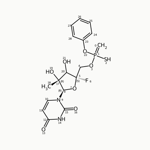 C=P(S)(OC[C@@]1(F)O[C@@H](n2ccc(=O)[nH]c2=O)[C@](C)(O)C1O)Oc1ccccc1